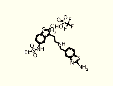 CCS(=O)(=O)Nc1ccc2sc(C)c(CCNCc3ccc4sc(N)nc4c3)c2c1.O=S(=O)(O)C(F)(F)F